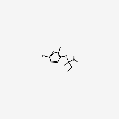 CBC(C)(CC)Oc1ccc(O)cc1C